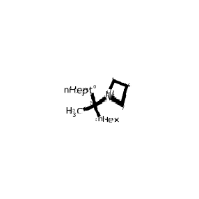 CCCCCCCC(C)(CCCCCC)N1CCC1